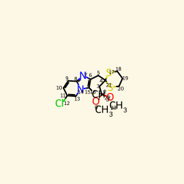 COC(CC1(Cc2nc3ccc(Cl)cn3c2C)SCCCS1)OC